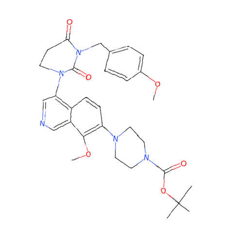 COc1ccc(CN2C(=O)CCN(c3cncc4c(OC)c(N5CCN(C(=O)OC(C)(C)C)CC5)ccc34)C2=O)cc1